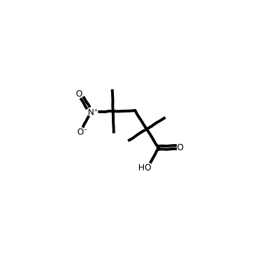 CC(C)(CC(C)(C)[N+](=O)[O-])C(=O)O